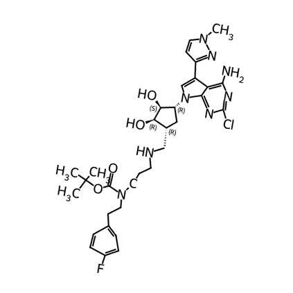 Cn1ccc(-c2cn([C@@H]3C[C@H](CNCCCN(CCc4ccc(F)cc4)C(=O)OC(C)(C)C)[C@@H](O)[C@H]3O)c3nc(Cl)nc(N)c23)n1